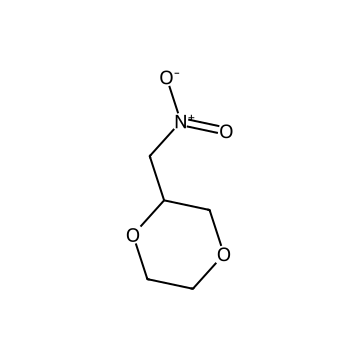 O=[N+]([O-])CC1COCCO1